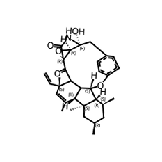 C=C[C@@]1(C)C=C(C)[C@@H]2C3C1C(=O)[C@]14O[C@H]1[C@](O)(Cc1ccc(cc1)O[C@@H]3[C@@H]1[C@@H](C)C[C@@H](C)C[C@]12C)NC4=O